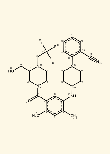 Cc1cc(C)c(C(=O)N2CCN(CC(F)(F)F)C(CO)C2)cc1NC1CCN(c2ccccc2C#N)CC1